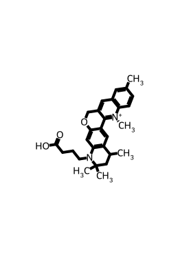 Cc1ccc2c(c1)cc1c([n+]2C)-c2cc3c(cc2OC1)N(CCCC(=O)O)C(C)(C)CC3C